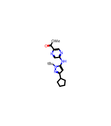 COC(=O)c1cnc(Nc2cc(C3CCCC3)nn2C(C)(C)C)cn1